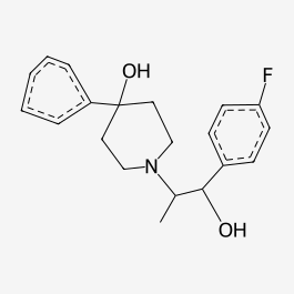 CC(C(O)c1ccc(F)cc1)N1CCC(O)(c2ccccc2)CC1